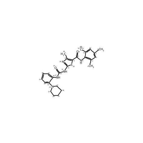 Cc1cc(C)c(NC(=O)c2sc(NC(=O)Nc3ccccc3N3CCCCC3)nc2C)c(C)c1